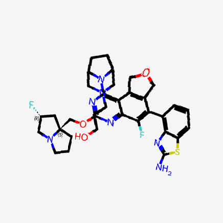 Nc1nc2c(-c3c4c(c5c(N6C7CCC6CN(CCCO)C7)nc(OC[C@@]67CCCN6C[C@H](F)C7)nc5c3F)COC4)cccc2s1